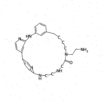 NCCN1CCCCc2cccc(c2)Nc2cc(ccn2)-c2ccc(nc2)NCCNCC1=O